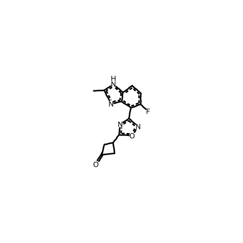 Cc1nc2c(-c3noc(C4CC(=O)C4)n3)c(F)ccc2[nH]1